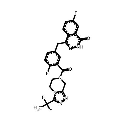 CC(F)(F)c1nnc2n1CCN(C(=O)c1cc(Cc3n[nH]c(=O)c4cc(F)ccc34)ccc1F)C2